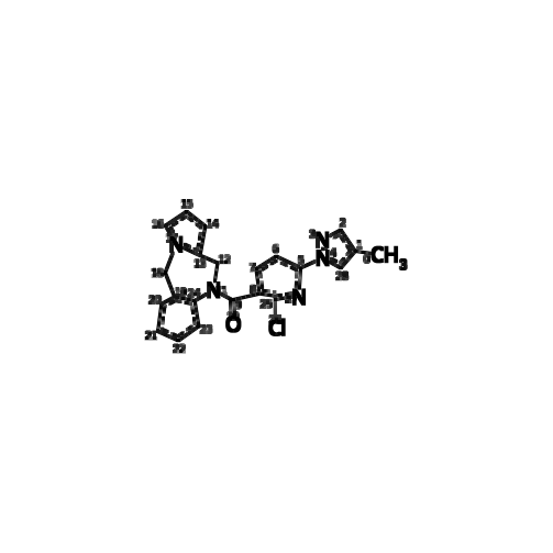 Cc1cnn(-c2ccc(C(=O)N3Cc4cccn4Cc4ccccc43)c(Cl)n2)c1